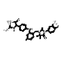 COC(=O)C(NC(N)=O)c1ccc(Nc2cc(F)ccc2CN2C(=O)N(c3ccc(F)c(C(F)(F)F)c3)C(=O)C2(C)C)cc1